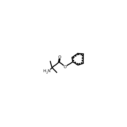 CC(C)(N)C(=O)Oc1ccccc1